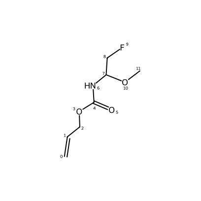 C=CCOC(=O)NC(CF)OC